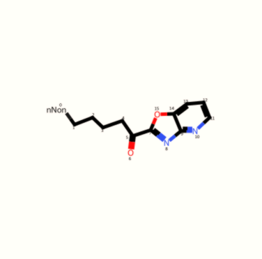 CCCCCCCCCCCCCC(=O)c1nc2ncccc2o1